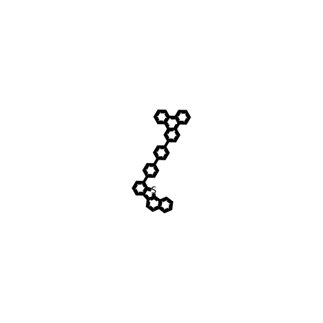 c1ccc2c(c1)ccc1c3cccc(-c4ccc(-c5ccc(-c6ccc7c8ccccc8c8ccccc8c7c6)cc5)cc4)c3sc21